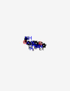 CCc1cccc(CC)c1NC(=O)c1nn(C)c2c1CCc1cnc(NC3CCN(C(=O)c4cc[nH]c4)CC3)nc1-2